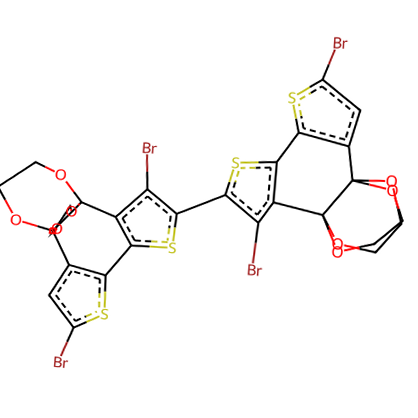 Brc1cc2c(s1)-c1sc(-c3sc4c(c3Br)C35OCCOC3(OCCO5)c3cc(Br)sc3-4)c(Br)c1C13OCCOC21OCCO3